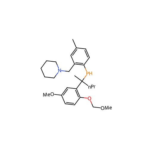 CCCC(C)(Pc1ccc(C)cc1CN1CCCCC1)c1cc(OC)ccc1OCOC